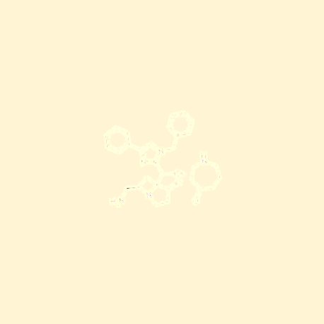 CC(C)(C)[C@@H](c1nc(-c2ccccc2)cn1Cc1ccccc1)C12C[C@H](CN)N1CCC2=O.O=C1CCCNCC1